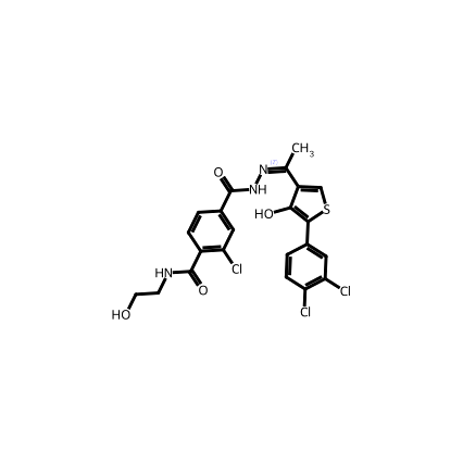 C/C(=N/NC(=O)c1ccc(C(=O)NCCO)c(Cl)c1)c1csc(-c2ccc(Cl)c(Cl)c2)c1O